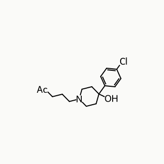 CC(=O)CCCN1CCC(O)(c2ccc(Cl)cc2)CC1